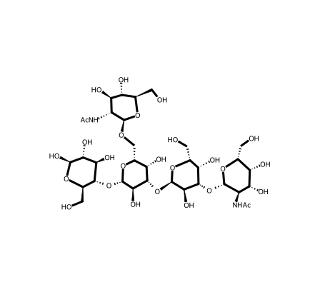 CC(=O)N[C@H]1[C@H](O[C@H]2[C@@H](O)[C@@H](CO)O[C@H](O[C@H]3[C@@H](O)[C@@H](CO[C@@H]4O[C@H](CO)[C@@H](O)[C@H](O)[C@H]4NC(C)=O)O[C@@H](O[C@H]4[C@H](O)[C@@H](O)[C@H](O)O[C@@H]4CO)[C@@H]3O)[C@@H]2O)O[C@H](CO)[C@H](O)[C@@H]1O